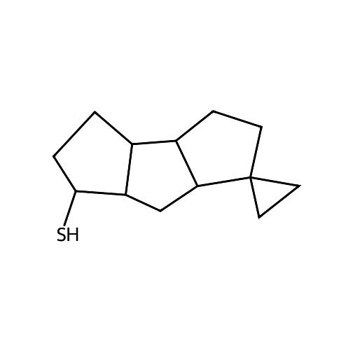 SC1CCC2C1CC1C2CCC12CC2